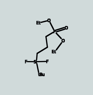 CCOP(=O)(CCC[Si](F)(F)C(C)(C)C)OCC